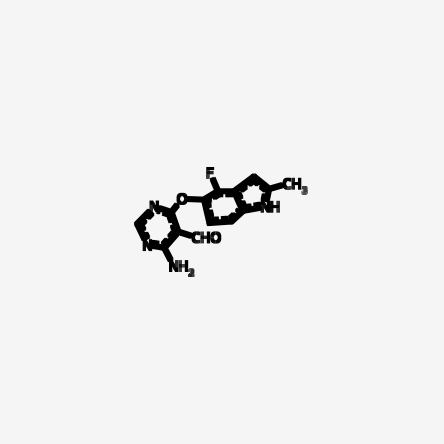 Cc1cc2c(F)c(Oc3ncnc(N)c3C=O)ccc2[nH]1